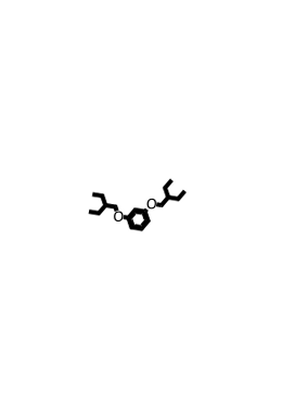 CCC(CC)COc1cccc(OCC(CC)CC)c1